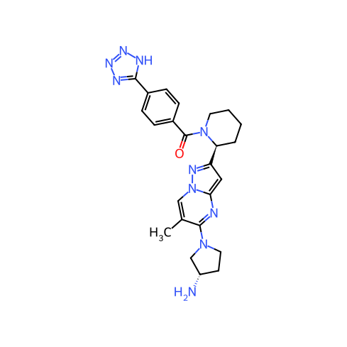 Cc1cn2nc([C@@H]3CCCCN3C(=O)c3ccc(-c4nnn[nH]4)cc3)cc2nc1N1CC[C@H](N)C1